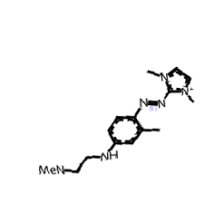 CNCCNc1ccc(/N=N/c2n(C)cc[n+]2C)c(C)c1